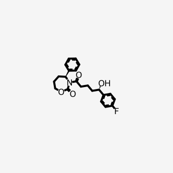 O=C(CCC[C@H](O)c1ccc(F)cc1)N1C(=O)OCCC[C@H]1c1ccccc1